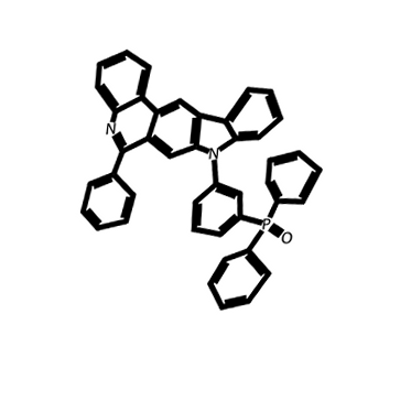 O=P(c1ccccc1)(c1ccccc1)c1cccc(-n2c3ccccc3c3cc4c(cc32)c(-c2ccccc2)nc2ccccc24)c1